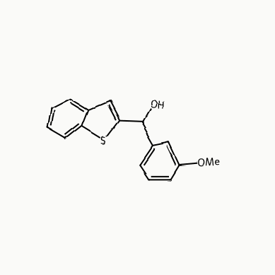 COc1cccc(C(O)c2cc3ccccc3s2)c1